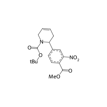 COC(=O)c1ccc(C2CC=CCN2C(=O)OC(C)(C)C)cc1[N+](=O)[O-]